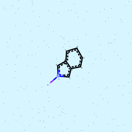 In1cc2ccccc2c1